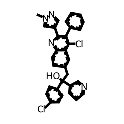 Cn1cc(-c2nc3ccc(CC(O)(c4ccc(Cl)cc4)c4cccnc4)cc3c(Cl)c2-c2ccccc2)cn1